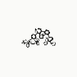 COc1nc(-c2cccc(-c3ccnc(-c4ccc5c(c4)S(=O)(=O)CCN(C(=O)OC(C)(C)C)C5)c3Cl)c2Cl)ccc1C=O